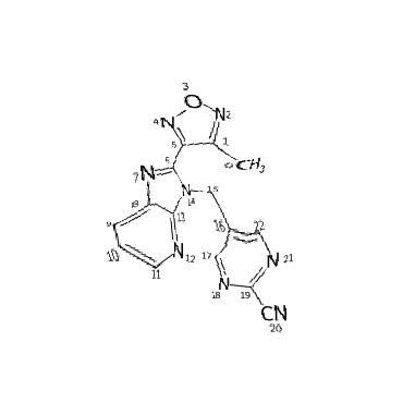 Cc1nonc1-c1nc2cccnc2n1Cc1cnc(C#N)nc1